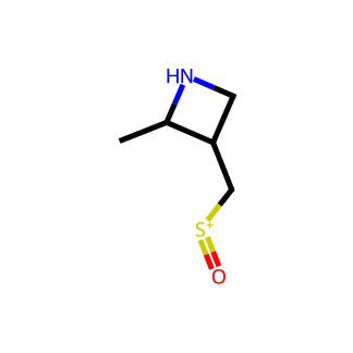 CC1NCC1C[S+]=O